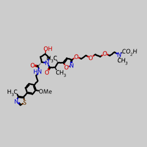 COc1cc(-c2scnc2C)ccc1CCNC(=O)[C@@H]1C[C@@H](O)CN1C(=O)[C@H](C)[C@H](C)c1cc(OCCOCCOCCN(C)C(=O)O)no1